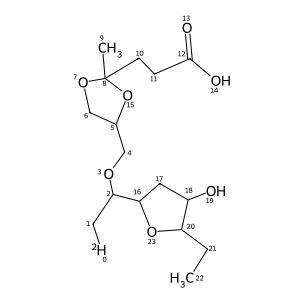 [2H]CC(OCC1COC(C)(CCC(=O)O)O1)C1CC(O)C(CC)O1